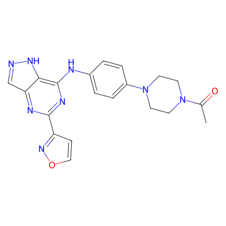 CC(=O)N1CCN(c2ccc(Nc3nc(-c4ccon4)nc4cn[nH]c34)cc2)CC1